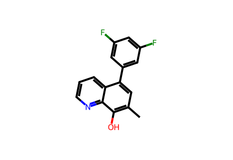 Cc1cc(-c2cc(F)cc(F)c2)c2cccnc2c1O